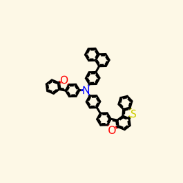 c1ccc2c(-c3ccc(N(c4ccc(-c5ccc6oc7ccc8sc9ccccc9c8c7c6c5)cc4)c4ccc5c(c4)oc4ccccc45)cc3)cccc2c1